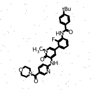 Cn1cc(-c2cccc(NC(=O)c3ccc(C(C)(C)C)cc3)c2F)cc(Nc2ccc(C(=O)N3CCOCC3)cn2)c1=O